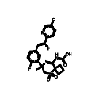 CC1(c2cc(C=C(F)c3ccc(Cl)cn3)ccc2F)CS(=O)(=O)C2(CCC2)C(NC(=O)O)=N1